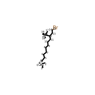 C[Si](C)(C)CCCCCCCCC(CCBr)[Si](C)(C)C